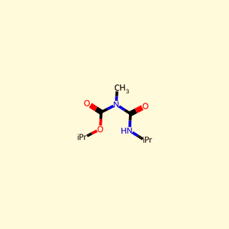 CC(C)NC(=O)N(C)C(=O)OC(C)C